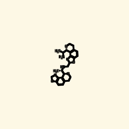 C[C@H](N)[C@@H]1OCCc2ccc3c(c21)OC(CN[C@@H](C)[C@H]1OCCc2ccc4c(c21)OCO4)O3